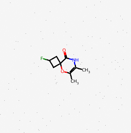 CC1=C(C)OC2(CC(F)C2)C(=O)N1